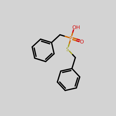 O=P(O)(Cc1ccccc1)SCc1ccccc1